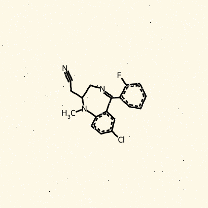 CN1c2ccc(Cl)cc2C(c2ccccc2F)=NCC1CC#N